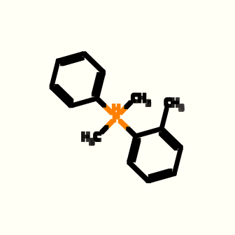 Cc1ccccc1[PH](C)(C)c1ccccc1